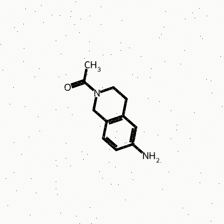 CC(=O)N1CCc2cc(N)ccc2C1